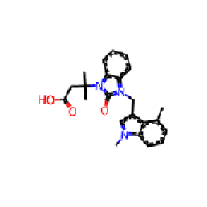 Cc1cccc2c1c(Cn1c(=O)n(C(C)(C)CC(=O)O)c3ccccc31)cn2C